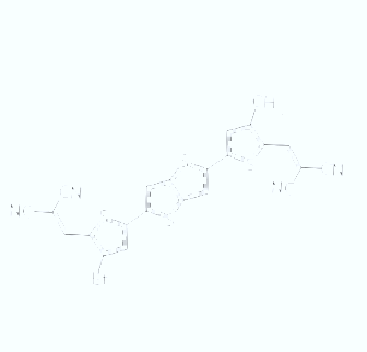 CCc1cc(-c2cc3sc(-c4cc(C)c(C=C(C#N)C#N)s4)cc3s2)sc1C=C(C#N)C#N